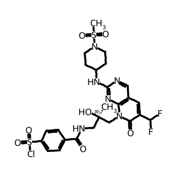 C[C@@](O)(CNC(=O)c1ccc(S(=O)(=O)Cl)cc1)Cn1c(=O)c(C(F)F)cc2cnc(NC3CCN(S(C)(=O)=O)CC3)nc21